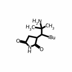 CCC(C)C(C1CC(=O)NC1=O)C(C)(C)N